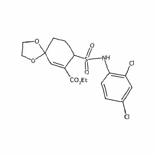 CCOC(=O)C1=CC2(CCC1S(=O)(=O)Nc1ccc(Cl)cc1Cl)OCCO2